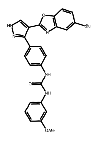 COc1cccc(NC(=O)Nc2ccc(-c3n[nH]cc3-c3nc4cc(C(C)(C)C)ccc4o3)cc2)c1